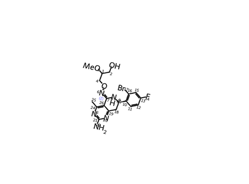 COC(CO)CO/N=C1\N[C@@H](c2ccc(F)cc2Br)Cc2nc(N)nc(C)c21